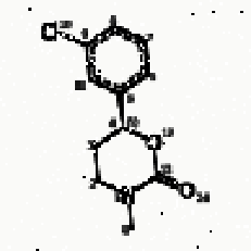 CN1CC[C@@H](c2cccc(Cl)c2)OC1=O